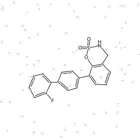 O=S1(=O)NCc2cccc(-c3ccc(-c4ccccc4F)cc3)c2O1